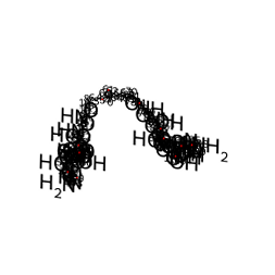 Cc1c(CCCCC(C)(C)CC(=O)CCNC(=O)CCNC(=O)C(O)C(C)(C)COP(=O)(O)OP(=O)(O)OCC2OC(n3cnc4c(N)ncnc43)C(O)C2OP(=O)(O)O)cccc1CCCCC(C)(C)CC(=O)CCNC(=O)CCNC(=O)C(O)C(C)(C)COP(=O)(O)OP(=O)(O)OCC1OC(n2cnc3c(N)ncnc32)C(O)C1OP(=O)(O)O